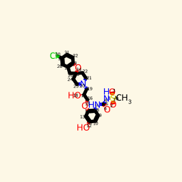 CS(=O)(=O)NC(=O)Nc1ccc(O)cc1OC[C@H](O)CN1CCC2(CC1)Cc1cc(Cl)ccc1O2